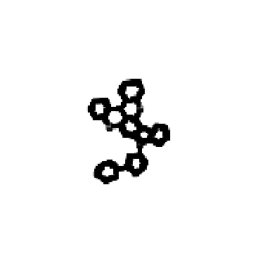 c1ccc(-c2cccc(-n3c4ccccc4c4c5c6c(cc43)Oc3ccccc3N6c3ccccc3O5)c2)cc1